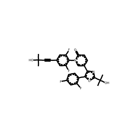 CC(C)(O)C#Cc1cc(F)c(-n2cc(-c3nc(C(C)(C)O)oc3-c3ccc(F)cc3F)ccc2=O)c(F)c1